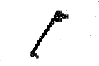 CCCCCCCCCCCCCCCCCCOCC(O)CN(C)CCO